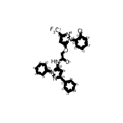 O=C(COc1cc(C(F)(F)F)nn1-c1ccccc1Cl)Nc1cc(-c2ccccc2)nn1-c1ccccc1